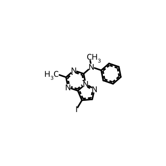 Cc1nc(N(C)c2ccccc2)n2ncc(I)c2n1